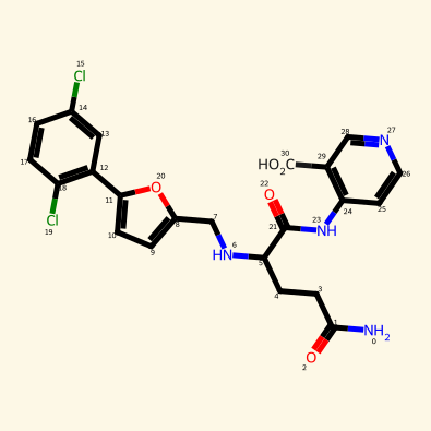 NC(=O)CCC(NCc1ccc(-c2cc(Cl)ccc2Cl)o1)C(=O)Nc1ccncc1C(=O)O